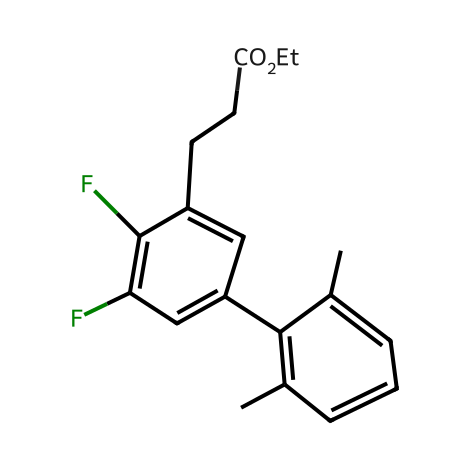 CCOC(=O)CCc1cc(-c2c(C)cccc2C)cc(F)c1F